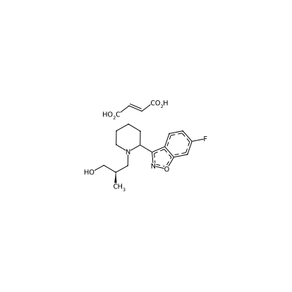 C[C@@H](CO)CN1CCCCC1c1noc2cc(F)ccc12.O=C(O)C=CC(=O)O